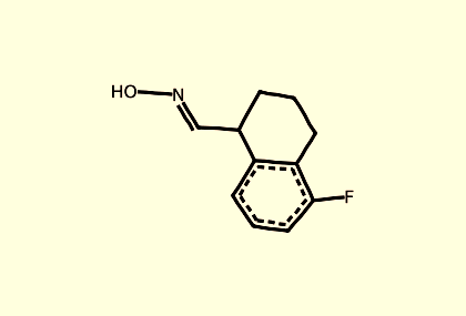 ON=CC1CCCc2c(F)cccc21